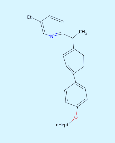 CCCCCCCOc1ccc(-c2ccc(C(C)c3ccc(CC)cn3)cc2)cc1